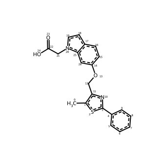 Cc1sc(-c2ccccc2)nc1COc1ccc2ccn(CC(=O)O)c2c1